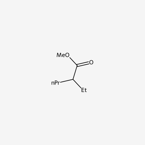 [CH]OC(=O)C(CC)CCC